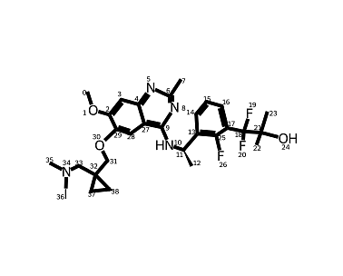 COc1cc2nc(C)nc(N[C@H](C)c3cccc(C(F)(F)C(C)(C)O)c3F)c2cc1OCC1(CN(C)I)CC1